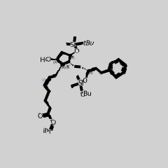 CC(C)OC(=O)CCC/C=C\C[C@@H]1[C@@H](CC[C@H](CCc2ccccc2)O[Si](C)(C)C(C)(C)C)[C@H](O[Si](C)(C)C(C)(C)C)C[C@@H]1O